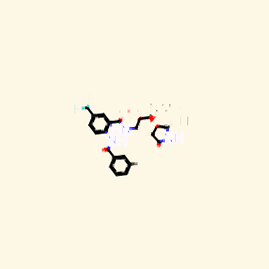 CNC(=O)C(=O)[C@H](C[C@@H]1C[C@@H](C)NC1=O)NC(=O)c1cc(C(F)F)ccc1NC(=O)c1cccc(C(F)(F)F)c1